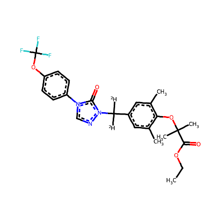 [2H]C([2H])(c1cc(C)c(OC(C)(C)C(=O)OCC)c(C)c1)n1ncn(-c2ccc(OC(F)(F)F)cc2)c1=O